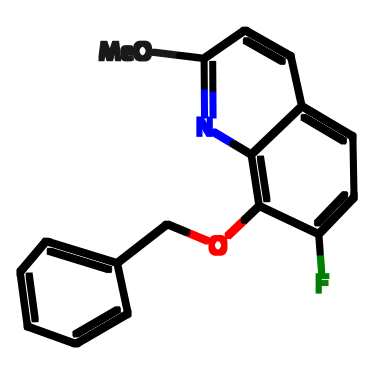 COc1ccc2ccc(F)c(OCc3ccccc3)c2n1